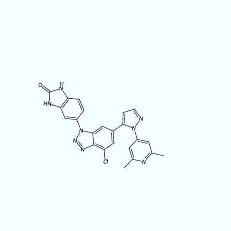 Cc1cc(-n2nccc2-c2cc(Cl)c3nnn(-c4ccc5[nH]c(=O)[nH]c5c4)c3c2)cc(C)n1